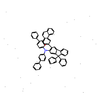 c1ccc(-c2ccc(N(c3ccc(-c4ccccc4)cc3)c3cc4c(cc3-c3ccc5ccc6ccccc6c5c3)-c3ccccc3C4(c3ccccc3)c3ccccc3)cc2)cc1